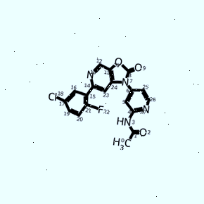 CC(=O)Nc1cc(-n2c(=O)oc3cnc(-c4cc(Cl)ccc4F)cc32)ccn1